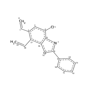 C=Cc1cc(Cl)c2nc(-c3ccccc3)oc2c1C=C